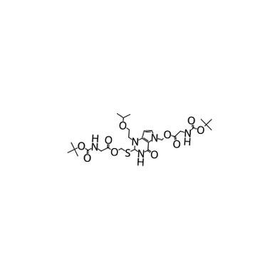 CC(C)OCCN1c2ccn(COC(=O)CNC(=O)OC(C)(C)C)c2C(=O)NC1SCOC(=O)CNC(=O)OC(C)(C)C